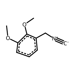 [C-]#[N+]Cc1cccc(OC)c1OC